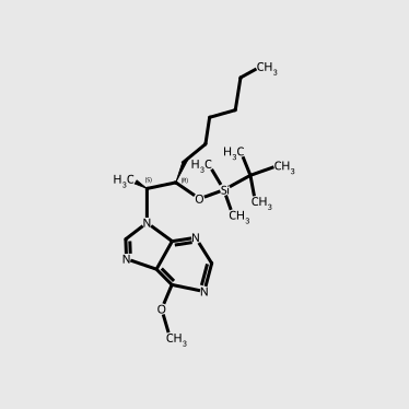 CCCCCC[C@@H](O[Si](C)(C)C(C)(C)C)[C@H](C)n1cnc2c(OC)ncnc21